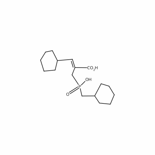 O=C(O)C(=CC1CCCCC1)CP(=O)(O)CC1CCCCC1